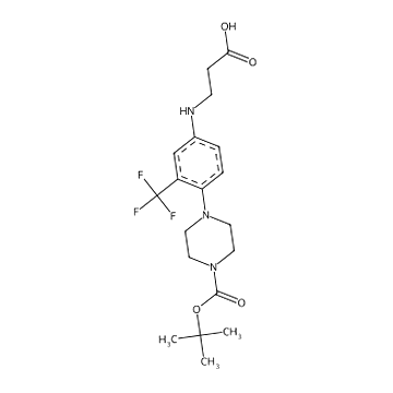 CC(C)(C)OC(=O)N1CCN(c2ccc(NCCC(=O)O)cc2C(F)(F)F)CC1